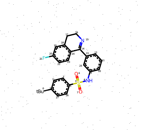 CC(C)(C)c1ccc(S(=O)(=O)Nc2cccc(C3=NCCc4cc(F)ccc43)c2)cc1